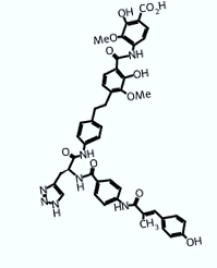 COc1c(CCc2ccc(NC(=O)[C@H](Cc3c[nH]nn3)NC(=O)c3ccc(NC(=O)/C(C)=C/c4ccc(O)cc4)cc3)cc2)ccc(C(=O)Nc2ccc(C(=O)O)c(O)c2OC)c1O